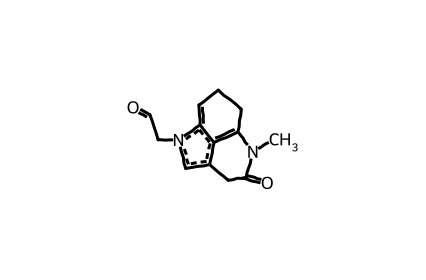 CN1C(=O)Cc2cn(CC=O)c3c2=C1CCC=3